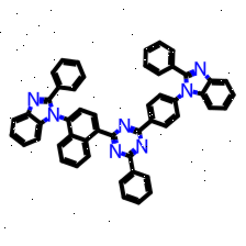 c1ccc(-c2nc(-c3ccc(-n4c(-c5ccccc5)nc5ccccc54)cc3)nc(-c3ccc(-n4c(-c5ccccc5)nc5ccccc54)c4ccccc34)n2)cc1